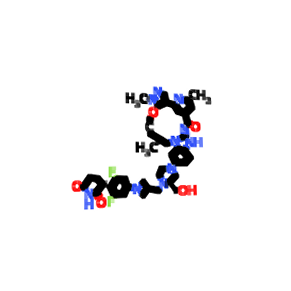 Cc1cc2cc(n1)-c1cnn(C)c1OCCC[C@@H](C)CN1/C(=N/C2=O)Nc2ccc(N3CCN(CC4CN(c5cc(F)c([C@H]6CCC(=O)NC6=O)c(F)c5)C4)[C@H](CO)C3)cc21